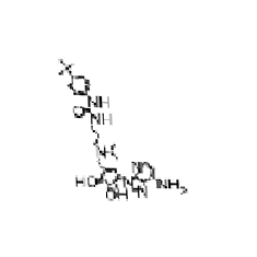 CC(C)N(CCCNC(=O)Nc1ccc(C(C)(C)C)cc1)CC1=C[C@@H](n2cnc3c(N)ccnc32)[C@H](O)[C@@H]1O